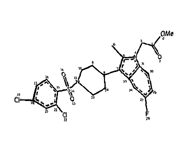 COC(=O)Cn1c(C)c(C2CCN(S(=O)(=O)c3ccc(Cl)cc3Cl)CC2)c2cc(F)ccc21